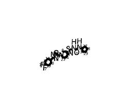 O=C(Nc1nc2c(s1)CN(c1nc(C3CCC(F)(F)CC3)no1)CC2)NC1CCCC1